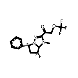 CN1C(C(=O)COC(F)(F)F)=NN2C1[C@@H](F)C[C@H]2c1ccccc1